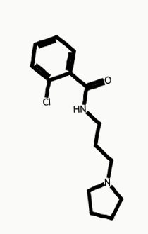 O=C(NCCCN1C[CH]CC1)c1ccccc1Cl